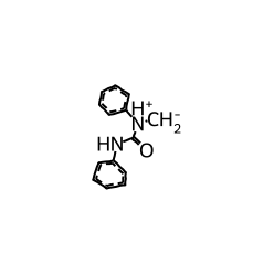 [CH2-][NH+](C(=O)Nc1ccccc1)c1ccccc1